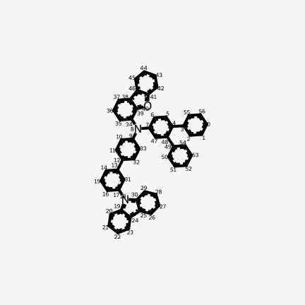 c1ccc(-c2ccc(N(c3ccc(-c4cccc(-n5c6ccccc6c6ccccc65)c4)cc3)c3cccc4c3oc3ccccc34)cc2-c2ccccc2)cc1